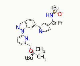 CCC[C@H](N[S+]([O-])C(C)(C)C)c1ccnc(-c2ccc3cnn(-c4cccc(CO[Si](C)(C)C(C)(C)C)n4)c3c2)c1